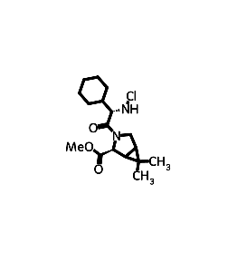 COC(=O)[C@@H]1C2C(CN1C(=O)[C@@H](NCl)C1CCCCC1)C2(C)C